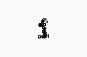 O=CNc1nc(CC(=O)N2CCc3cc(NC(=O)c4cc(C(F)(F)F)ccc4-c4ccccc4)ccc32)cs1